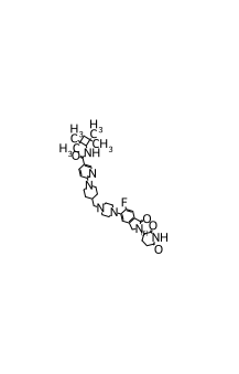 CC1(C)CC(C)(C)C1NC(=O)c1ccc(N2CCC(CN3CCN(c4cc5c(cc4F)C(=O)N([C@H]4CCC(=O)NC4=O)C5)CC3)CC2)nc1